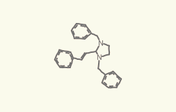 C(=CC1N(Cc2ccccc2)CCN1Cc1ccccc1)c1ccccc1